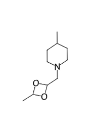 CC1CCN(CC2OC(C)O2)CC1